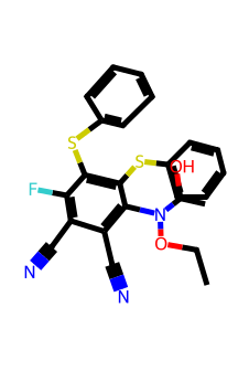 CCON(c1c(C#N)c(C#N)c(F)c(Sc2ccccc2)c1Sc1ccccc1)C(C)O